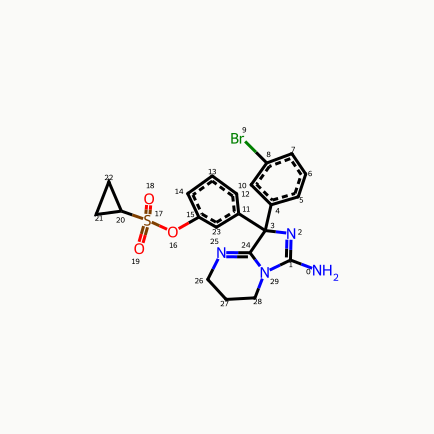 NC1=NC(c2cccc(Br)c2)(c2cccc(OS(=O)(=O)C3CC3)c2)C2=NCCCN12